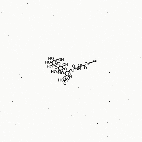 C=CCCCOC(=O)NCCNC(=O)OCC1O[C@@H]2O[C@@](C)(C(=O)O)OC2[C@@H](O)[C@@H]1O[C@@H]1OC(CO)[C@H](O[C@H]2OC(CO)[C@H](O)[C@H](O)C2O)[C@H](O)C1O